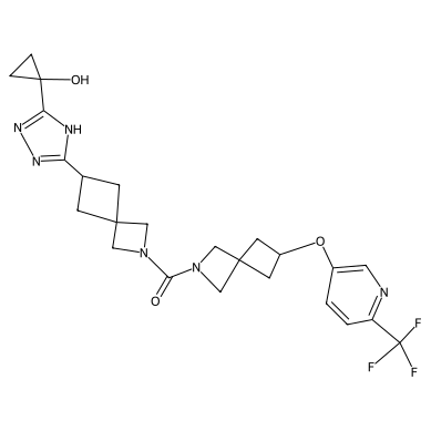 O=C(N1CC2(CC(Oc3ccc(C(F)(F)F)nc3)C2)C1)N1CC2(CC(c3nnc(C4(O)CC4)[nH]3)C2)C1